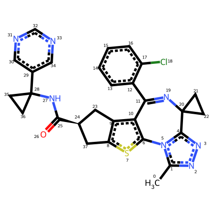 Cc1nnc2n1-c1sc3c(c1C(c1ccccc1Cl)=NC21CC1)C[C@H](C(=O)NC1(c2cncnc2)CC1)C3